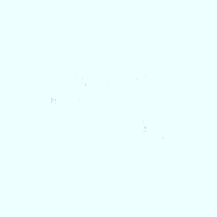 CC1(C)CCC2OC(=O)c3cccc(c32)C1